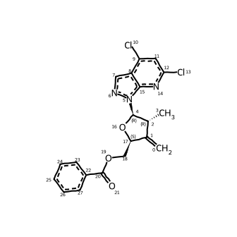 C=C1[C@@H](C)[C@H](n2ncc3c(Cl)cc(Cl)nc32)O[C@@H]1COC(=O)c1ccccc1